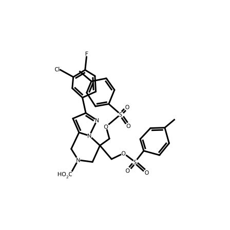 Cc1ccc(S(=O)(=O)OCC2(COS(=O)(=O)c3ccc(C)cc3)CN(C(=O)O)Cc3cc(-c4ccc(F)c(Cl)c4)nn32)cc1